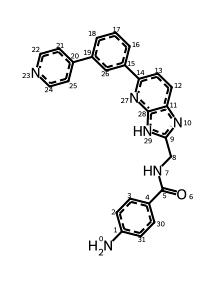 Nc1ccc(C(=O)NCc2nc3ccc(-c4cccc(-c5ccncc5)c4)nc3[nH]2)cc1